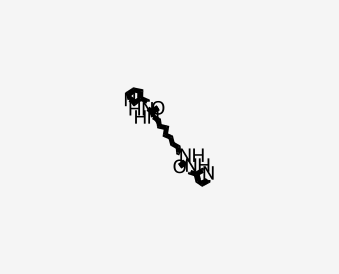 O=C(NCCCCCCCCNC(=O)NCc1cccnc1)NCc1cccnc1